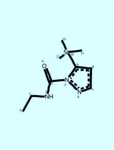 CCNC(=O)n1nccc1[Si](C)(C)C